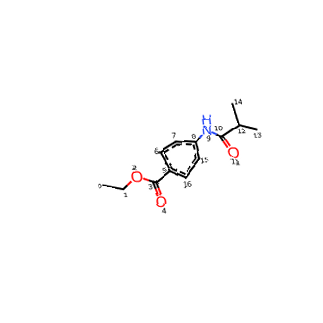 CCOC(=O)c1ccc(NC(=O)C(C)C)cc1